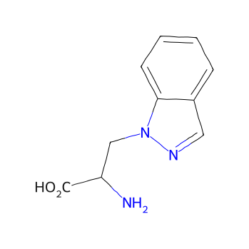 NC(Cn1ncc2ccccc21)C(=O)O